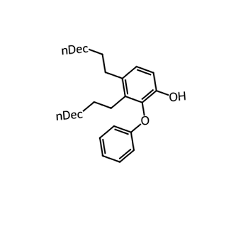 CCCCCCCCCCCCc1ccc(O)c(Oc2ccccc2)c1CCCCCCCCCCCC